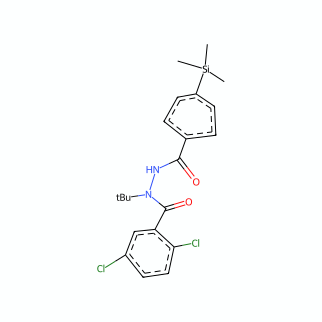 CC(C)(C)N(NC(=O)c1ccc([Si](C)(C)C)cc1)C(=O)c1cc(Cl)ccc1Cl